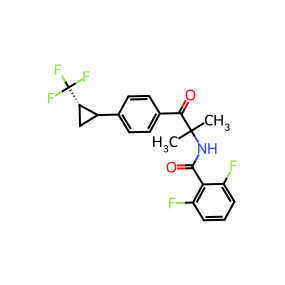 CC(C)(NC(=O)c1c(F)cccc1F)C(=O)c1ccc(C2C[C@@H]2C(F)(F)F)cc1